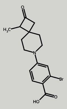 CC1C(=O)CC12CCN(c1ccc(C(=O)O)c(Br)c1)CC2